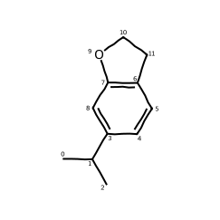 CC(C)c1ccc2c(c1)OCC2